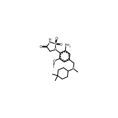 CN(Cc1cc(P)c(N2CC(=O)NS2(=O)=O)c(OI)c1)C1CCC(C)(C)CC1